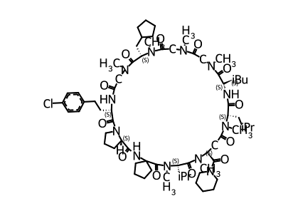 CC[C@H](C)[C@@H]1NC(=O)[C@H](CC(C)C)N(C)C(=O)C[C@@H](C(=O)N2CCCCC2)N(C)C(=O)[C@H](C(C)C)N(C)C(=O)C2(CCCC2)NC(=O)[C@@H]2CCCN2C(=O)[C@H](CCc2ccc(Cl)cc2)NC(=O)CN(C)C(=O)[C@H](CC2CCCC2)N(C)C(=O)CN(C)C(=O)CN(C)C1=O